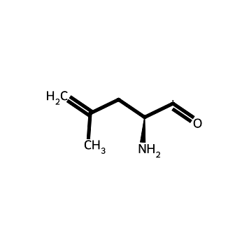 C=C(C)C[C@H](N)[C]=O